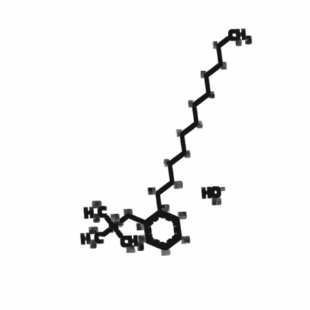 CCCCCCCCCCCCc1ccccc1C[N+](C)(C)C.[OH-]